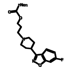 CCCCCCCCCC(=O)OCCCN1CCC(c2noc3cc(F)ccc23)CC1